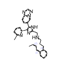 C\C=C/C=c1/cccc/c1=C/CCNCc1nc(-c2cccc(C)n2)c(-c2ccc3ncnn3c2)[nH]1